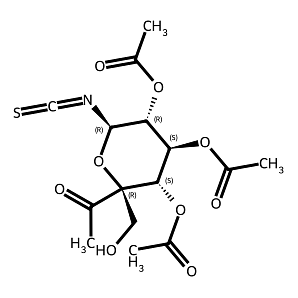 CC(=O)O[C@@H]1[C@@H](OC(C)=O)[C@H](OC(C)=O)[C@](CO)(C(C)=O)O[C@H]1N=C=S